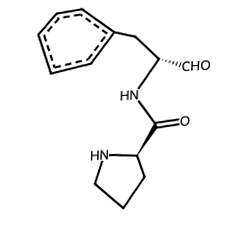 O=C[C@@H](Cc1ccccc1)NC(=O)[C@H]1CCCN1